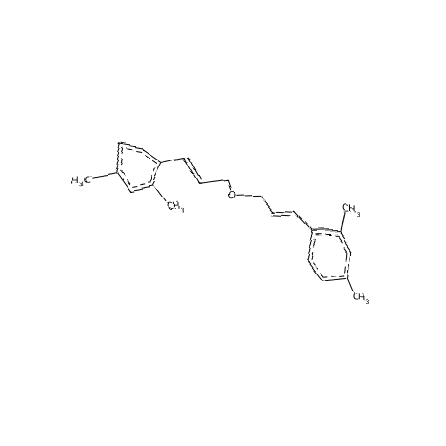 Cc1ccc(C=CCOCC=Cc2ccc(C)cc2C)c(C)c1